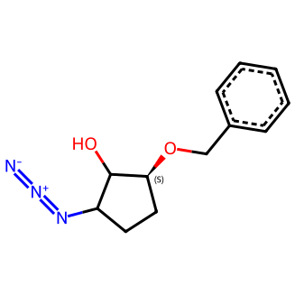 [N-]=[N+]=NC1CC[C@H](OCc2ccccc2)C1O